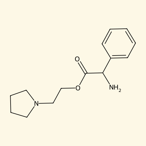 NC(C(=O)OCCN1CCCC1)c1ccccc1